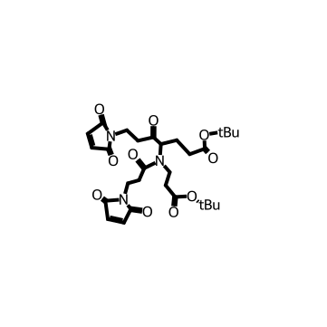 CC(C)(C)OC(=O)CCC(C(=O)CCN1C(=O)C=CC1=O)N(CCC(=O)OC(C)(C)C)C(=O)CCN1C(=O)C=CC1=O